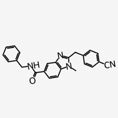 Cn1c(Cc2ccc(C#N)cc2)nc2cc(C(=O)NCc3ccccc3)ccc21